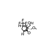 COC[C@]1(CO)C(=O)[C@@H]2CC[N@@]1[C@H](C(F)(F)F)C2